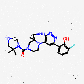 CC1(C)CNCCN1C(=O)N1CCN2c3cc(-c4cccc(F)c4O)nnc3NCC2(C)C1